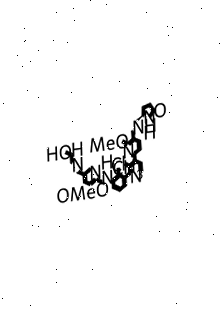 COc1cc(CNCCO)cnc1C(=O)Nc1cccc(-c2nccc(-c3ccc(CNC[C@H]4CCC(=O)N4)c(OC)n3)c2Cl)c1C